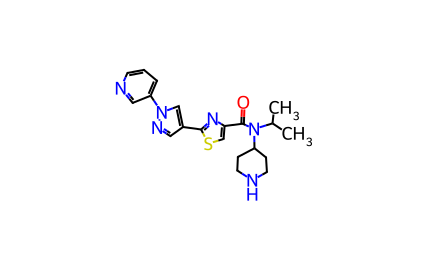 CC(C)N(C(=O)c1csc(-c2cnn(-c3cccnc3)c2)n1)C1CCNCC1